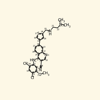 COc1cc(Nc2c(C#N)cnc3cc(-c4csc(CNCCN(C)C)c4)ccc23)c(Cl)cc1Cl